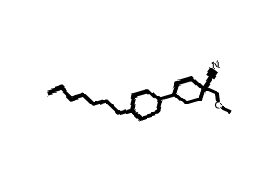 CCCCCCCC1CCC(C2CCC(C#N)(COC)CC2)CC1